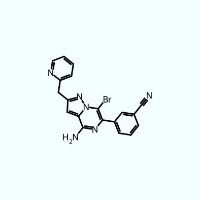 N#Cc1cccc(-c2nc(N)c3cc(Cc4ccccn4)nn3c2Br)c1